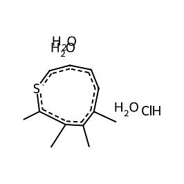 Cc1ccccsc(C)c(C)c1C.Cl.O.O.O